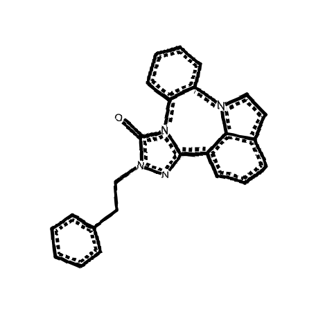 O=c1n(CCc2ccccc2)nc2c3cccc4ccn(c5ccccc5n12)c43